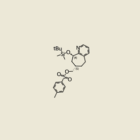 Cc1ccc(S(=O)(=O)OC[C@H]2CCc3cccnc3[C@H](O[Si](C)(C)C(C)(C)C)C2)cc1